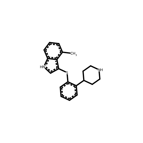 Cc1cccc2[nH]cc(Sc3ccccc3C3CCNCC3)c12